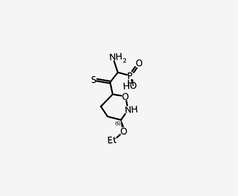 CCO[C@H]1CCC(C(=S)C(N)[PH](=O)O)ON1